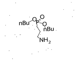 CCCCOP(=O)(CCCN)OCCCC